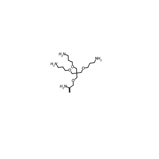 C=C(N)COCC(COCCCN)(COCCCN)COCCCN